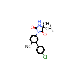 CC1(C)NC(=O)N(c2ccc(C#N)c(-c3ccc(Cl)cc3)c2)C1=O